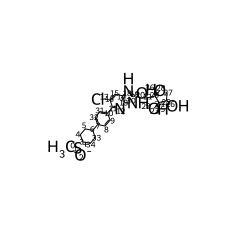 C[S+]([O-])C1CCC(c2ccc(-c3nc4c(cc3Cl)NC(O[C@@H]3CO[C@@H]5C(O)CO[C@@H]53)N4)cc2)CC1